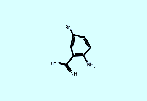 CCCC(=N)c1cc(Br)ccc1N